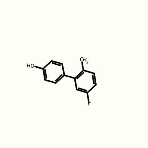 Cc1ccc(F)cc1-c1ccc(O)cc1